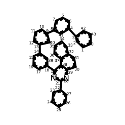 c1ccc(-c2cccc(-c3cccc(-c4cccc(-c5nc(-c6ccccc6)nc6ccc7ccccc7c56)c4)c3)c2)cc1